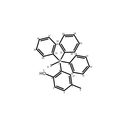 Cc1ccc(O)c(P(I)(c2ccccc2)(c2ccccc2)c2ccccc2)c1